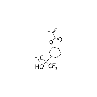 C=C(C)C(=O)OC1CCCC(C(O)(C(F)(F)F)C(F)(F)F)C1